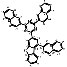 c1ccc2cc(-c3nc(-c4ccc5ccccc5c4)nc(-c4cc(-c5ccc6ccccc6c5)c5c(c4)oc4ccccc45)n3)ccc2c1